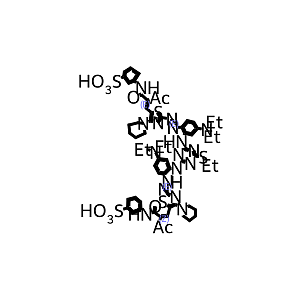 CCSc1nc(Nc2cc(N(CC)CC)ccc2/N=N/c2nc(N3CCCCC3)c(/C=C(/C(C)=O)C(=O)Nc3cccc(S(=O)(=O)O)c3)s2)nc(Nc2cc(N(CC)CC)ccc2/N=N/c2nc(N3CCCCC3)c(/C=C(\C(C)=O)C(=O)Nc3cccc(S(=O)(=O)O)c3)s2)n1